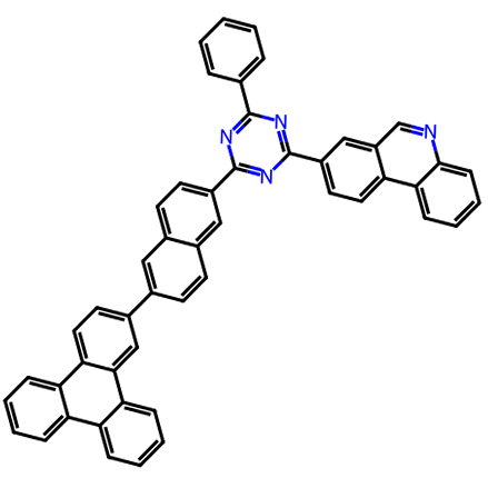 c1ccc(-c2nc(-c3ccc4cc(-c5ccc6c7ccccc7c7ccccc7c6c5)ccc4c3)nc(-c3ccc4c(cnc5ccccc54)c3)n2)cc1